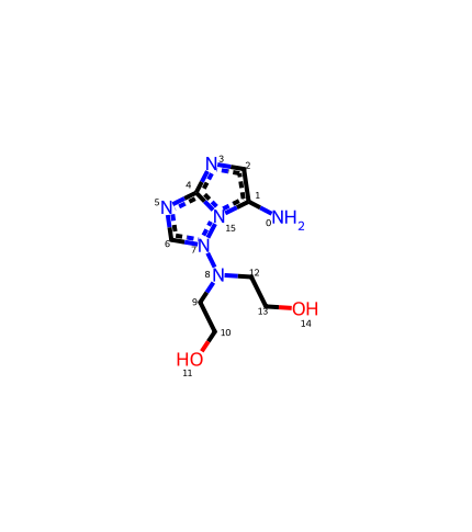 Nc1cnc2ncn(N(CCO)CCO)n12